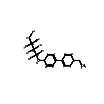 CCC1CC=C(C2=CCC(OC(F)(F)C(F)(F)C(F)(F)CF)C=C2)CC1